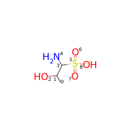 CC(O)C(N)S(=O)(=O)O